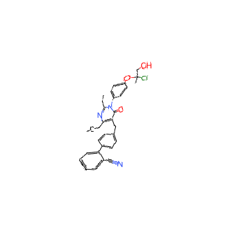 CCCc1nc(CC)n(-c2ccc(OC(C)(Cl)CO)cc2)c(=O)c1Cc1ccc(-c2ccccc2C#N)cc1